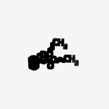 CCCCOC(=O)C(CC(=O)C12CC3CC(CC(C3)C1)C2)C(=O)OCCCC